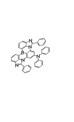 c1ccc(-c2nc3cccc4c3n2-c2cc(N(c3ccccc3)c3ccccc3)cc3c2B4c2cccc4nc(-c5ccccc5)n-3c24)cc1